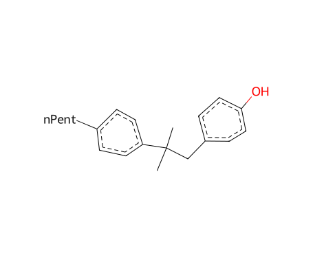 CCCCCc1ccc(C(C)(C)Cc2ccc(O)cc2)cc1